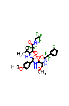 COCC(NC(=O)C(F)(F)c1cccc(F)c1)C(=O)NC(C(=O)NC(C(=O)C(F)(F)C(=O)NCC(F)(F)F)C(C)C)c1ccc(OC)cc1